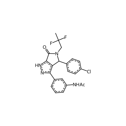 CC(=O)Nc1cccc(-c2n[nH]c3c2C(c2ccc(Cl)cc2)N(CC(C)(F)F)C3=O)c1